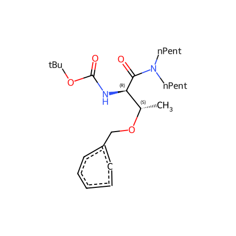 CCCCCN(CCCCC)C(=O)[C@H](NC(=O)OC(C)(C)C)[C@H](C)OCc1ccccc1